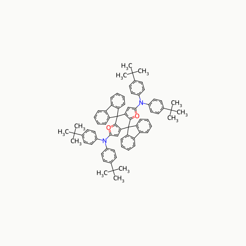 CC(C)(C)c1ccc(N(c2ccc(C(C)(C)C)cc2)c2cc3c(o2)C2(c4ccccc4-c4ccccc42)c2cc(N(c4ccc(C(C)(C)C)cc4)c4ccc(C(C)(C)C)cc4)oc2C32c3ccccc3-c3ccccc32)cc1